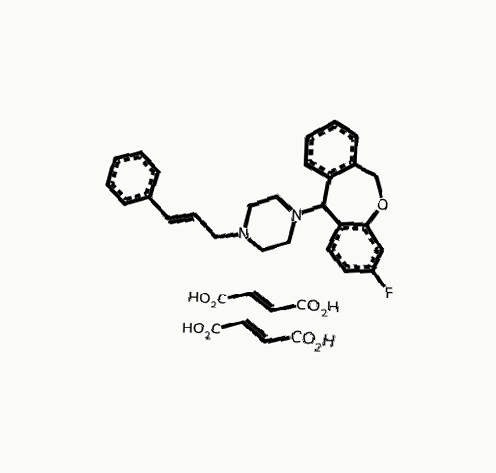 Fc1ccc2c(c1)OCc1ccccc1C2N1CCN(C/C=C/c2ccccc2)CC1.O=C(O)/C=C/C(=O)O.O=C(O)/C=C/C(=O)O